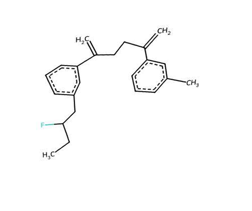 C=C(CCC(=C)c1cccc(CC(F)CC)c1)c1cccc(C)c1